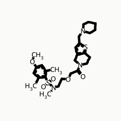 COc1cc(C)c(S(=O)(=O)N(C)CCOCC(=O)N2CCc3sc(CN4CCCCC4)cc3C2)c(C)c1